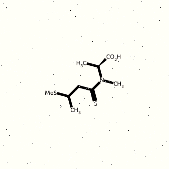 CSC(C)CC(=S)N(C)[C@@H](C)C(=O)O